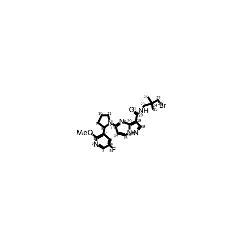 COc1ncc(F)cc1C1CCCN1c1ccn2ncc(C(=O)NCC(C)(C)CBr)c2n1